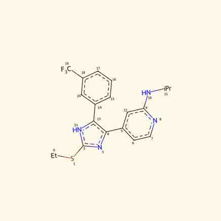 CCSc1nc(-c2ccnc(NC(C)C)c2)c(-c2cccc(C(F)(F)F)c2)[nH]1